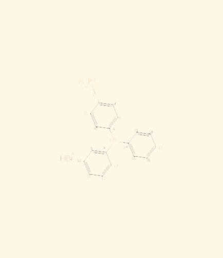 Br.CP.c1ccc(P(c2ccccc2)c2ccccc2)cc1